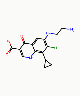 NCCNc1cc2c(=O)c(C(=O)O)c[nH]c2c(C2CC2)c1Cl